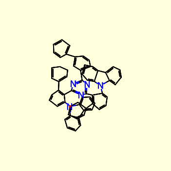 C1=CCC(c2cccc(-n3c4ccccc4c4ccccc43)c2-c2nc(-c3cccc(-c4ccccc4)c3)nc(-c3c(C4=CCCC=C4)cccc3-n3c4ccccc4c4ccccc43)n2)C=C1